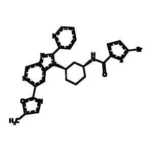 Cc1cnc(-c2cc3c(cn2)nc(-c2ccccn2)n3[C@@H]2CCC[C@H](NC(=O)c3ccc(Br)s3)C2)o1